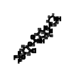 Cc1nc(N2CCCNCC2)nc2ccc(NC(=O)COc3ccc(OC(F)(F)F)cc3Cl)cc12